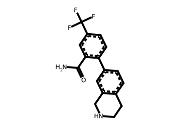 NC(=O)c1cc(C(F)(F)F)ccc1-c1ccc2c(c1)CNCC2